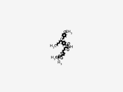 CCCCCC(OCc1ccc(OC)cc1)c1ccc(N2C(=O)NC(=O)C2CCCc2ccc(C(=O)OC(C)C)s2)cc1